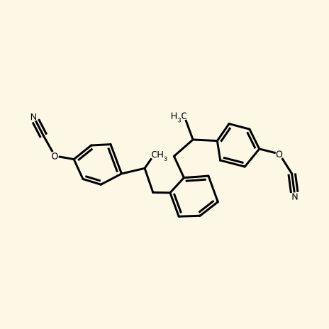 CC(Cc1ccccc1CC(C)c1ccc(OC#N)cc1)c1ccc(OC#N)cc1